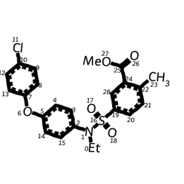 CCN(c1ccc(Oc2ccc(Cl)cc2)cc1)S(=O)(=O)c1ccc(C)c(C(=O)OC)c1